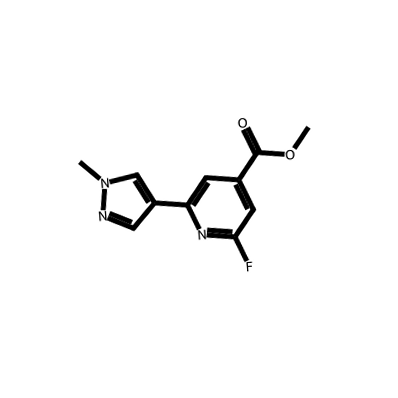 COC(=O)c1cc(F)nc(-c2cnn(C)c2)c1